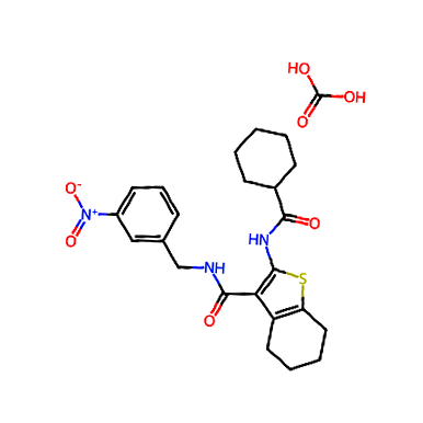 O=C(NCc1cccc([N+](=O)[O-])c1)c1c(NC(=O)C2CCCCC2)sc2c1CCCC2.O=C(O)O